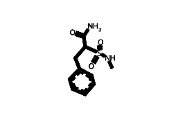 CNS(=O)(=O)C(Cc1ccccc1)C(N)=O